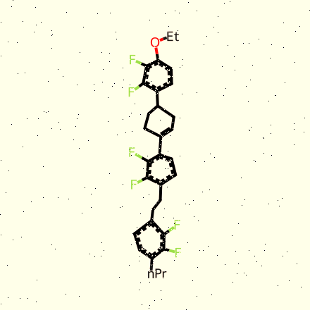 CCCc1ccc(CCc2ccc(C3=CCC(c4ccc(OCC)c(F)c4F)CC3)c(F)c2F)c(F)c1F